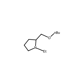 CCCCOCC1CCCN1CC